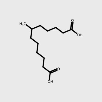 CC(CCCCCC(=O)O)CCCCC(=O)O